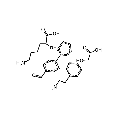 NCCCCC(N)C(=O)O.NCCc1ccccc1.O=C(O)CO.O=Cc1ccc(-c2ccccc2)cc1